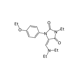 CCOc1ccc(N2C(=O)N(CC)C(=O)C2=CN(CC)CC)cc1